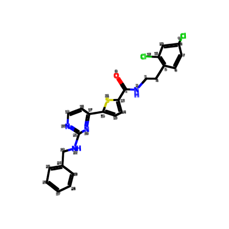 O=C(NCCc1ccc(Cl)cc1Cl)c1ccc(-c2ccnc(NCc3ccccc3)n2)s1